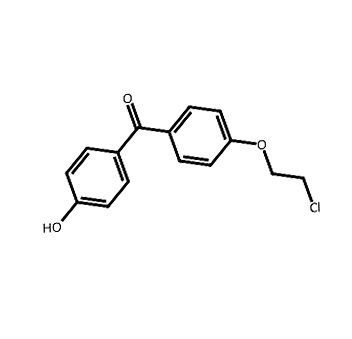 O=C(c1ccc(O)cc1)c1ccc(OCCCl)cc1